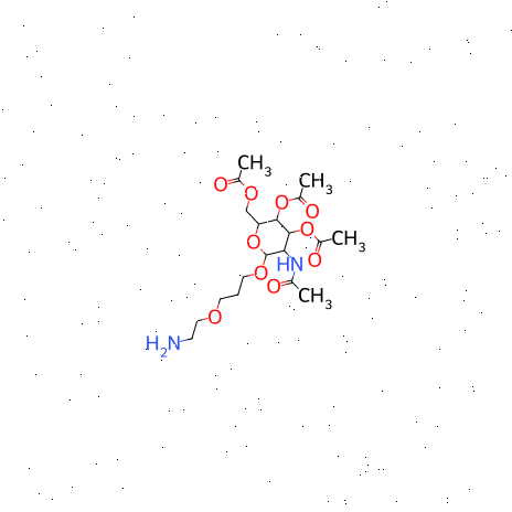 CC(=O)NC1C(OCCCOCCN)OC(COC(C)=O)C(OC(C)=O)C1OC(C)=O